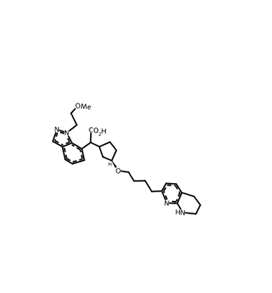 COCCn1ncc2cccc(C(C(=O)O)C3CC[C@@H](OCCCCc4ccc5c(n4)NCCC5)C3)c21